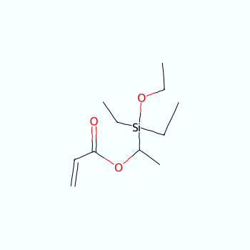 C=CC(=O)OC(C)[Si](CC)(CC)OCC